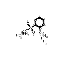 CS(=O)(=O)c1ccccc1[S].Cl.F.F.F.F